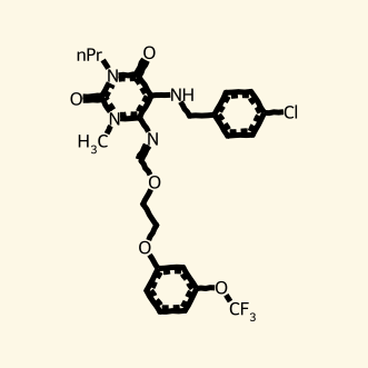 CCCn1c(=O)c(NCc2ccc(Cl)cc2)c(/N=C/OCCOc2cccc(OC(F)(F)F)c2)n(C)c1=O